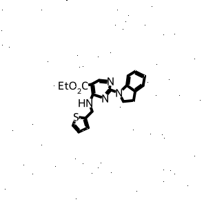 CCOC(=O)c1cnc(N2CCc3ccccc32)nc1NCc1cccs1